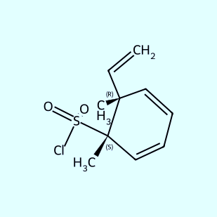 C=C[C@]1(C)C=CC=C[C@]1(C)S(=O)(=O)Cl